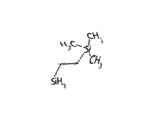 C[Si](C)(C)C[CH][SiH3]